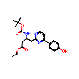 CCOC(=O)CC(Cc1nccc(-c2ccc(O)cc2)n1)NC(=O)OC(C)(C)C